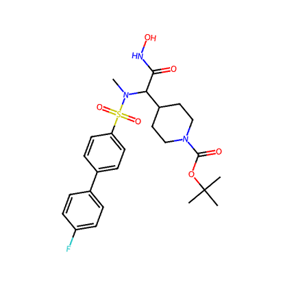 CN(C(C(=O)NO)C1CCN(C(=O)OC(C)(C)C)CC1)S(=O)(=O)c1ccc(-c2ccc(F)cc2)cc1